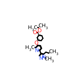 CCCc1c(-c2ccc(O[C@H]3CCC[C@H](C(=O)OC(C)C)C3)c(C)n2)cnn1C